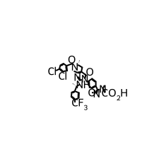 C[C@H](Nc1nc2c(c(=O)n1-c1ccc3c(N(C)C(=O)O)noc3c1)C[C@@H](C)N(C(=O)c1ccc(Cl)c(Cl)c1)C2)c1ccc(C(F)(F)F)cc1